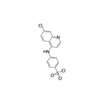 O=S(=O)(Cl)c1ccc(Nc2ccnc3cc(Cl)ccc23)cc1